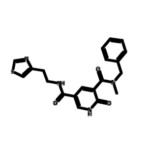 CN(Cc1ccccc1)C(=O)c1cc(C(=O)NCCc2cscn2)c[nH]c1=O